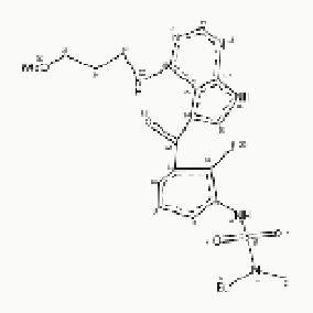 CCN(C)S(=O)(=O)Nc1cccc(C(=O)c2c[nH]c3ncnc(NCCCOC)c23)c1F